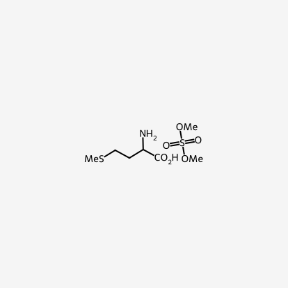 COS(=O)(=O)OC.CSCCC(N)C(=O)O